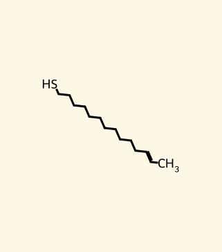 CC=CCCCCCCCCCCCS